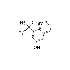 CC(C)(S)c1cc(O)cc2cccnc12